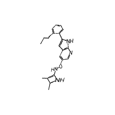 CCCc1ccccc1-c1cc2cc(ONC3=C(C)C(C)N3)cnc2[nH]1